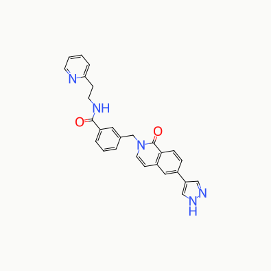 O=C(NCCc1ccccn1)c1cccc(Cn2ccc3cc(-c4cn[nH]c4)ccc3c2=O)c1